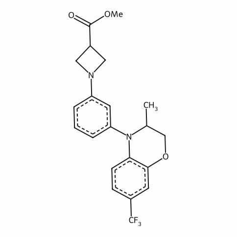 COC(=O)C1CN(c2cccc(N3c4ccc(C(F)(F)F)cc4OCC3C)c2)C1